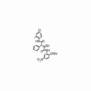 COc1ccc([N+](=O)[O-])cc1NC(=O)N(S)C(C(=O)Nc1ccc(Cl)cc1C)c1ccccc1